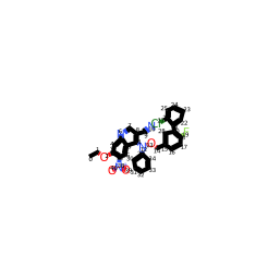 CCOc1cc2ncc(C#N)c(N(OCc3ccc(F)c(-c4ccccc4Cl)c3)c3ccccc3)c2cc1[N+](=O)[O-]